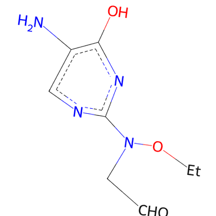 CCON(CC=O)c1ncc(N)c(O)n1